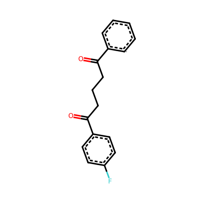 O=C(CCCC(=O)c1ccc(F)cc1)c1[c]cccc1